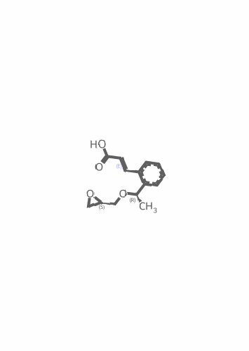 C[C@@H](OC[C@H]1CO1)c1ccccc1/C=C/C(=O)O